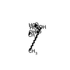 CCCCCCCCCCCCCC(=O)OC(CO)COP(=O)(O)O.CCO